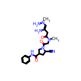 CN(N)/C=C(\N)CC(=O)N(C)CC(=O)N1CC(C(=O)Nc2ccccc2)CC1C#N